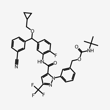 CC(C)(C)NC(=O)OCc1cccc(-n2nc(C(F)(F)F)cc2C(=O)Nc2cc(C(OCC3CC3)c3cccc(C#N)c3)ccc2F)c1